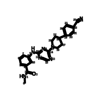 CNC(=O)c1cccc(Nc2ncnc(N3CCC(c4ccc(C#N)cc4)CC3)n2)c1